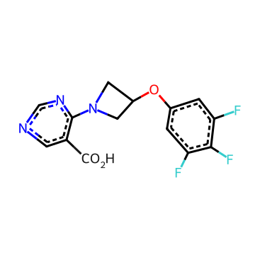 O=C(O)c1cncnc1N1CC(Oc2cc(F)c(F)c(F)c2)C1